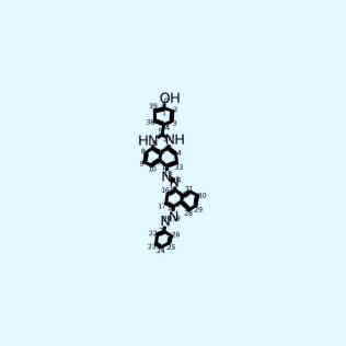 Oc1ccc(C2Nc3cccc4c(N=Nc5ccc(/N=N/c6ccccc6)c6ccccc56)ccc(c34)N2)cc1